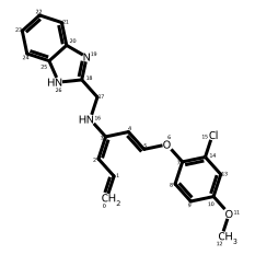 C=C/C=C(\C=C\Oc1ccc(OC)cc1Cl)NCc1nc2ccccc2[nH]1